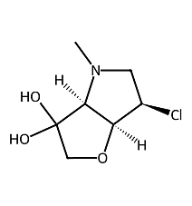 CN1C[C@@H](Cl)[C@H]2OCC(O)(O)[C@H]21